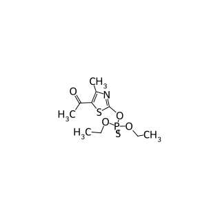 CCOP(=S)(OCC)Oc1nc(C)c(C(C)=O)s1